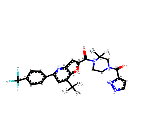 CC(C)(C)c1cc(-c2ccc(C(F)(F)F)cc2)nc2cc(C(=O)N3CCN(C(=O)c4ccn[nH]4)CC3(C)C)oc12